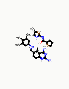 COc1cc(NCc2ccc3nc(N)nc(N)c3c2C)cc(OC)c1OC.O=C(Nc1ncc([N+](=O)[O-])s1)c1cccs1